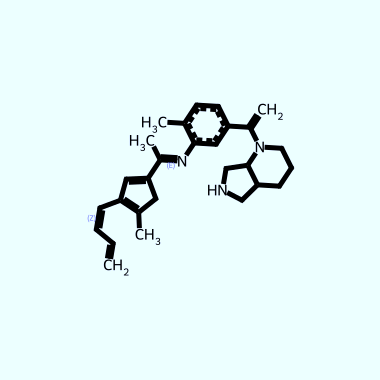 C=C/C=C\C1=C(C)CC(/C(C)=N/c2cc(C(=C)N3CCCC4CNCC43)ccc2C)=C1